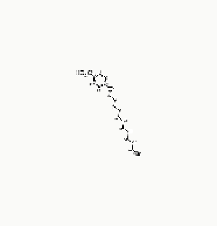 O=C(O)c1ccc(OCCCCCCCCCCCBr)cc1